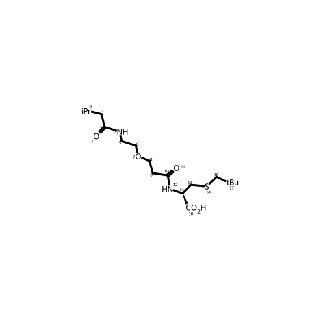 CC(C)CC(=O)NCCOCCC(=O)N[C@@H](CSCC(C)(C)C)C(=O)O